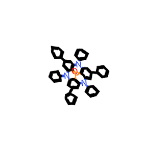 O=P12c3c4cc(-c5ccccc5)cc3N(c3ccccc3)c3cc(-c5ccccc5)cc(c31)N(c1ccccc1)c1cc(-c3ccccc3)cc(c12)N4c1ccccc1